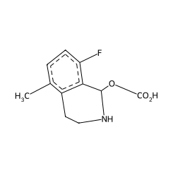 Cc1ccc(F)c2c1CCNC2OC(=O)O